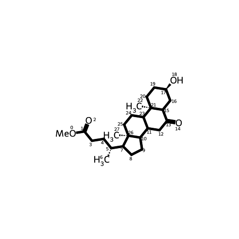 COC(=O)CC[C@@H](C)C1CCC2C3CC(=O)C4C[C@H](O)CC[C@]4(C)C3CC[C@@]21C